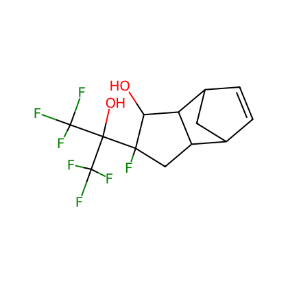 OC1C2C3C=CC(C3)C2CC1(F)C(O)(C(F)(F)F)C(F)(F)F